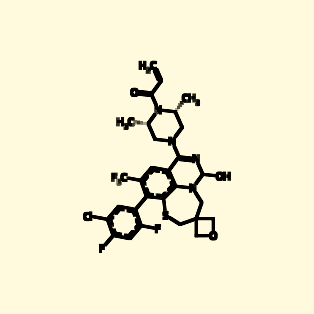 C=CC(=O)N1[C@H](C)CN(C2=NC(O)N3CC4(COC4)CSc4c(-c5cc(Cl)c(F)cc5F)c(C(F)(F)F)cc2c43)C[C@@H]1C